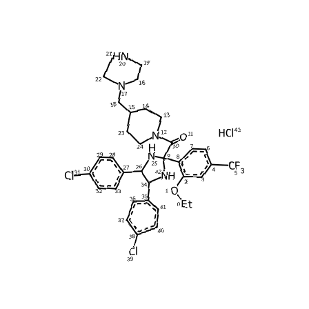 CCOc1cc(C(F)(F)F)ccc1C1(C(=O)N2CCC(CN3CCNCC3)CC2)NC(c2ccc(Cl)cc2)C(c2ccc(Cl)cc2)N1.Cl